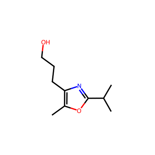 Cc1oc(C(C)C)nc1CCCO